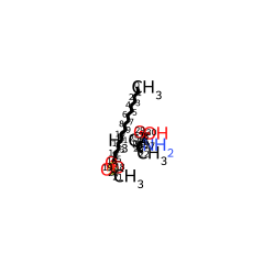 CCCCCCCCCCCCCCCCOS(=O)(=O)CC.CC[C@H](C)[C@H](N)C(=O)O